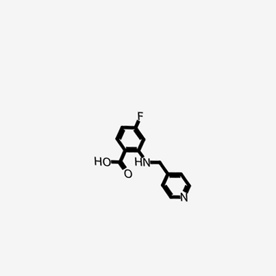 O=C(O)c1ccc(F)cc1NCc1ccncc1